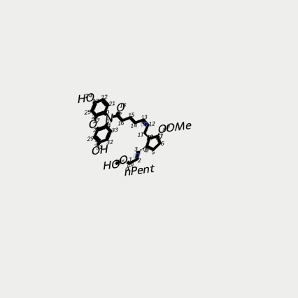 CCCCC[C@@H](/C=C/[C@H]1CC[C@H](OOC)[C@@H]1C/C=C\CCCC(=O)N1c2ccc(O)cc2Oc2cc(O)ccc21)OO